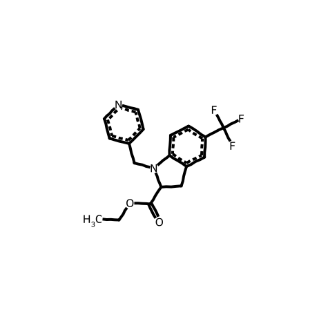 CCOC(=O)C1Cc2cc(C(F)(F)F)ccc2N1Cc1ccncc1